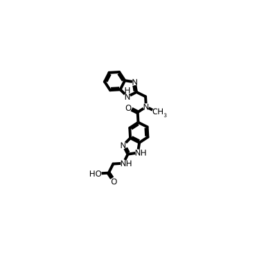 CN(Cc1nc2ccccc2[nH]1)C(=O)c1ccc2[nH]c(NCC(=O)O)nc2c1